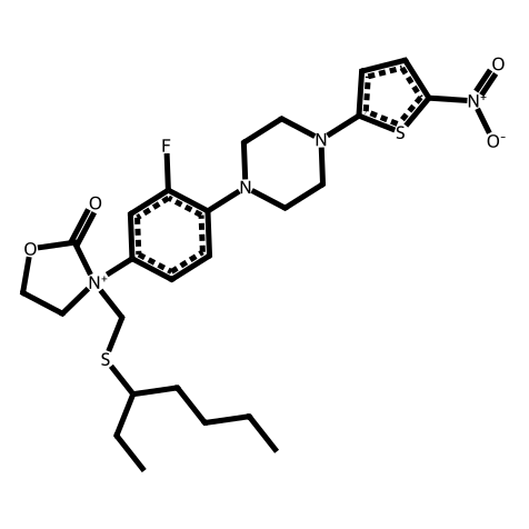 CCCCC(CC)SC[N+]1(c2ccc(N3CCN(c4ccc([N+](=O)[O-])s4)CC3)c(F)c2)CCOC1=O